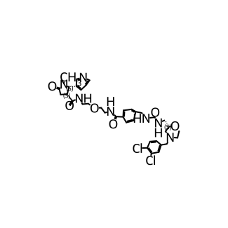 CN1C(=O)C[C@H](C(=O)NCCOCCNC(=O)c2ccc(CNC(=O)NC[C@H]3CN(Cc4ccc(Cl)c(Cl)c4)CCO3)cc2)[C@H]1c1cccnc1